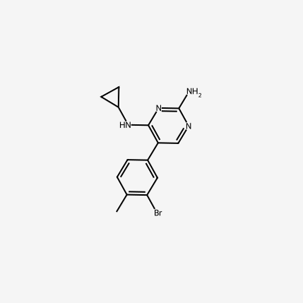 Cc1ccc(-c2cnc(N)nc2NC2CC2)cc1Br